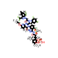 Cc1cc(C(=O)O)cc(OP(=O)(O)O)c1C(C)(C)CC(=O)N(c1nn(C)c2c(-n3c([C@H](Cc4cc(F)cc(F)c4)NC(=O)Cn4nc(C(F)F)c5c4C(F)(F)[C@@H]4C[C@H]54)nc4nc(OCCC(F)(F)F)ccc4c3=O)ccc(Cl)c12)S(C)(=O)=O